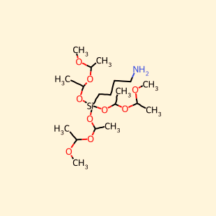 COC(C)OC(C)O[Si](CCCCN)(OC(C)OC(C)OC)OC(C)OC(C)OC